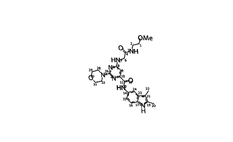 COCCNC(=O)CNc1cc(C(=O)Nc2ccc3[nH]c(C)c(C)c3c2)nc(N2CCOCC2)n1